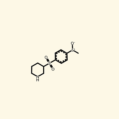 C[S+]([O-])c1ccc(S(=O)(=O)C2CCCNC2)cc1